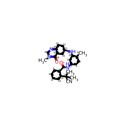 Cc1ccc(NC(=O)c2ccccc2C(C)(C)C#N)cc1Nc1ccc2ncn(C)c(=O)c2c1